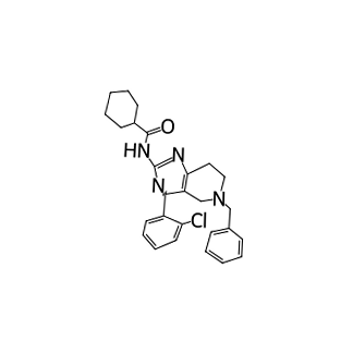 O=C(Nc1nc2c(c(-c3ccccc3Cl)n1)CN(Cc1ccccc1)CC2)C1CCCCC1